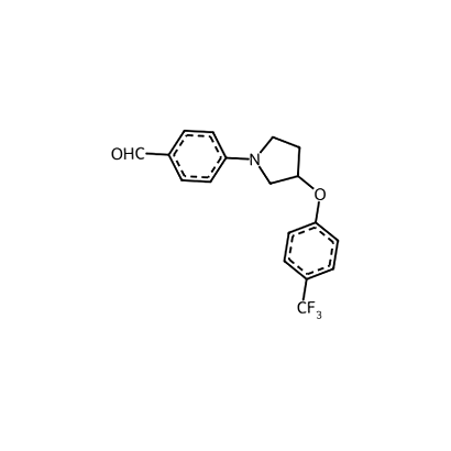 O=Cc1ccc(N2CCC(Oc3ccc(C(F)(F)F)cc3)C2)cc1